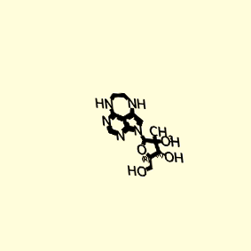 CC1(O)C(n2cc3c4c(ncnc42)NCCN3)O[C@H](CO)[C@H]1O